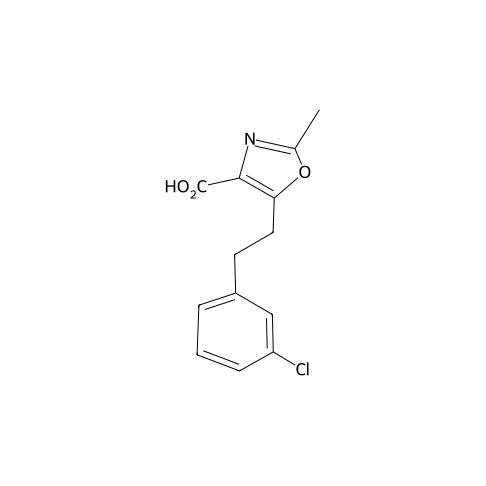 Cc1nc(C(=O)O)c(CCc2cccc(Cl)c2)o1